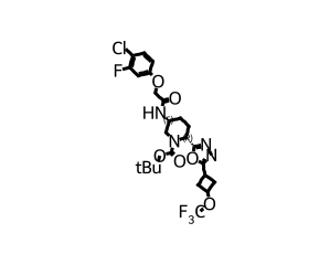 CC(C)(C)OC(=O)N1C[C@@H](NC(=O)COc2ccc(Cl)c(F)c2)CC[C@@H]1c1nnc(C2CC(OC(F)(F)F)C2)o1